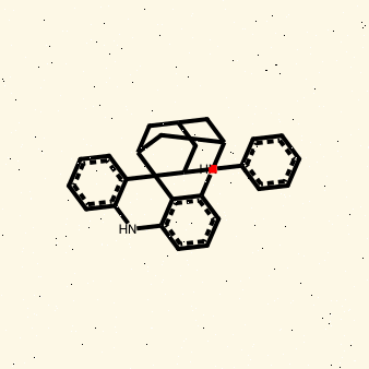 c1ccc(Nc2cccc3c2C2(c4ccccc4N3)C3CC4CC(C3)CC2C4)cc1